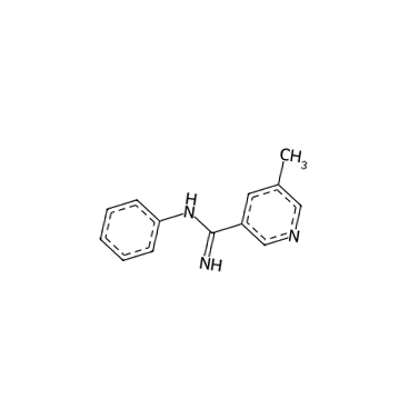 Cc1cncc(C(=N)Nc2ccccc2)c1